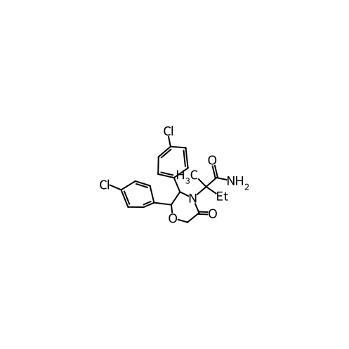 CCC(C)(C(N)=O)N1C(=O)COC(c2ccc(Cl)cc2)C1c1ccc(Cl)cc1